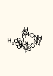 CC(C)(C)OC(=O)N1CC[C@H](Oc2ccc(-c3ncnc(Nc4ccc(N5C[C@@H]6CC[C@@H](C5)O6)cc4)n3)cc2C#N)[C@@H](F)C1